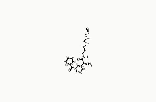 CC(C(=O)NCCSSCCON=O)c1cccc(C(=O)c2ccccc2)c1